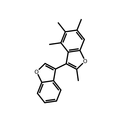 Cc1cc2oc(C)c(-c3coc4ccccc34)c2c(C)c1C